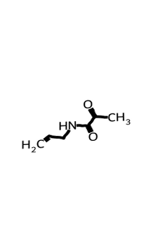 C=CCNC(=O)C(C)=O